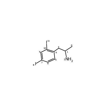 CC(N)Cc1ccc(I)cc1I